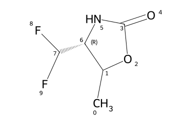 CC1OC(=O)N[C@H]1C(F)F